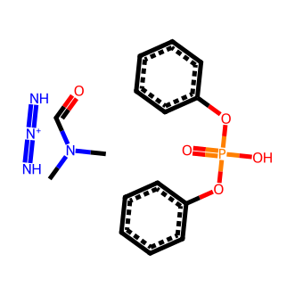 CN(C)C=O.N=[N+]=N.O=P(O)(Oc1ccccc1)Oc1ccccc1